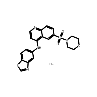 Cl.O=S(=O)(c1ccc2nccc(Nc3ccc4scnc4c3)c2c1)N1CCOCC1